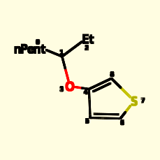 CCCCCC(CC)Oc1ccsc1